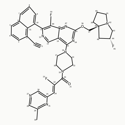 C#Cc1cccc2cccc(-c3ncc4c(N5CCN(C(=O)/C(F)=C/c6cncc(C)n6)CC5)nc(OC[C@@]56CCCN5C[C@H](F)C6)nc4c3F)c12